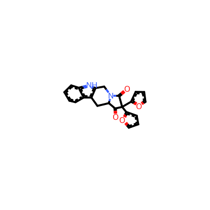 O=C1C2Cc3c([nH]c4ccccc34)CN2C(=O)C1(c1ccco1)c1ccco1